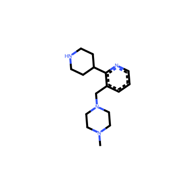 CN1CCN(Cc2cccnc2C2CCNCC2)CC1